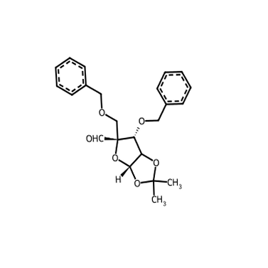 CC1(C)OC2[C@H](O1)O[C@](C=O)(COCc1ccccc1)[C@@H]2OCc1ccccc1